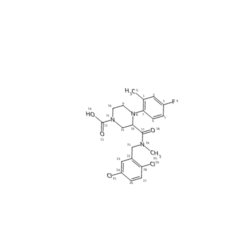 Cc1cc(F)ccc1N1CCN(C(=O)O)CC1C(=O)N(C)Cc1cc(Cl)ccc1Cl